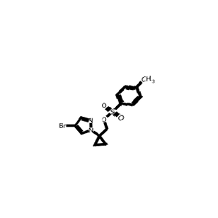 Cc1ccc(S(=O)(=O)OCC2(n3cc(Br)cn3)CC2)cc1